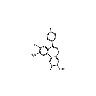 CN1C=C2C(=CC1C=O)CN=C(c1ccc(F)cc1)c1cc(Cl)c(N)cc12